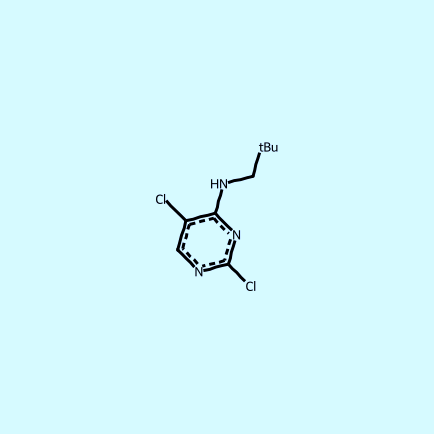 CC(C)(C)CNc1nc(Cl)ncc1Cl